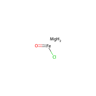 [MgH2].[O]=[Fe][Cl]